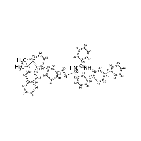 CC1(C)c2cc3ccccc3cc2-c2c(-c3cccc(/C=C/C(NC(N)c4ccccc4)c4cccc(-c5ccc(-c6ccccc6)cc5)c4)c3)cccc21